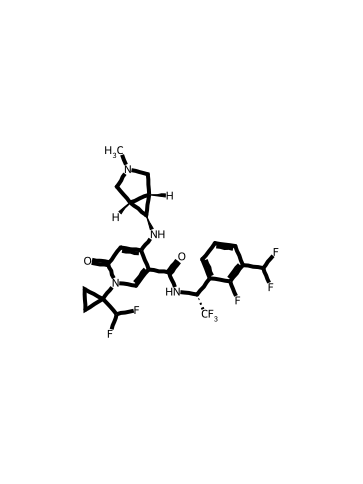 CN1C[C@@H]2[C@H](C1)[C@H]2Nc1cc(=O)n(C2(C(F)F)CC2)cc1C(=O)N[C@H](c1cccc(C(F)F)c1F)C(F)(F)F